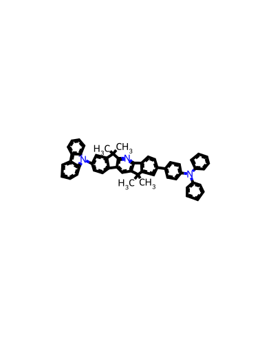 CC1(C)c2cc(-c3ccc(N(c4ccccc4)c4ccccc4)cc3)ccc2-c2nc3c(cc21)-c1ccc(-n2c4ccccc4c4ccccc42)cc1C3(C)C